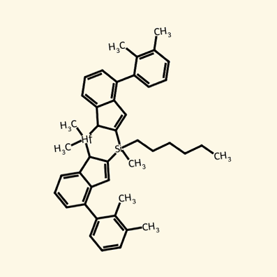 CCCCCC[Si]1(C)C2=Cc3c(-c4cccc(C)c4C)cccc3[CH]2[Hf]([CH3])([CH3])[CH]2C1=Cc1c(-c3cccc(C)c3C)cccc12